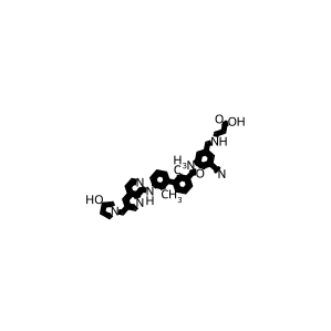 Cc1c(Nc2nccc3cc(CN4CC[C@@H](O)C4)cnc23)cccc1-c1cccc(-c2nc3cc(CNCCC(=O)O)cc(C#N)c3o2)c1C